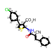 N#C/C(=C\c1ccccc1)C(=O)Nc1scc(-c2ccc(Cl)cc2)c1C(=O)O